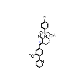 COc1cc(/C=C2\CCCN3C2=NOC3(CO)c2ccc(F)cc2)ccc1-c1ccccn1